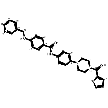 O=C(Nc1ccc(N2CCN(C(=O)c3cccs3)CC2)cc1)c1ccc(OCc2cccnc2)cc1